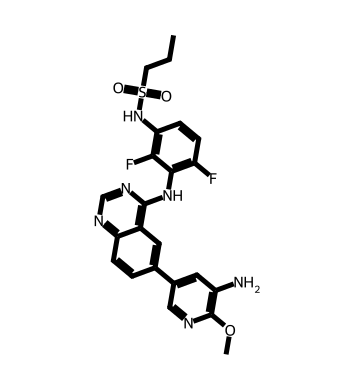 CCCS(=O)(=O)Nc1ccc(F)c(Nc2ncnc3ccc(-c4cnc(OC)c(N)c4)cc23)c1F